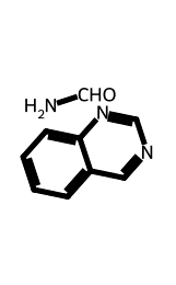 NC=O.c1ccc2ncncc2c1